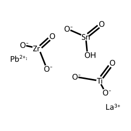 [La+3].[O]=[Sn]([O-])[OH].[O]=[Ti]([O-])[O-].[O]=[Zr]([O-])[O-].[Pb+2]